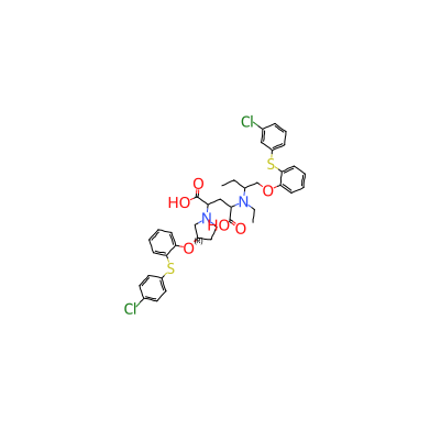 CCC(COc1ccccc1Sc1cccc(Cl)c1)N(CC)C(CC(C(=O)O)N1CC[C@@H](Oc2ccccc2Sc2ccc(Cl)cc2)C1)C(=O)O